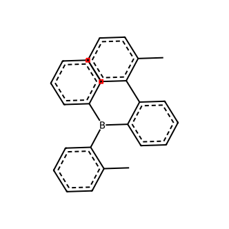 Cc1ccccc1B(c1ccccc1)c1ccccc1-c1ccccc1C